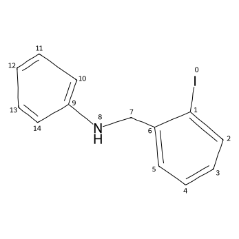 Ic1ccccc1CNc1ccccc1